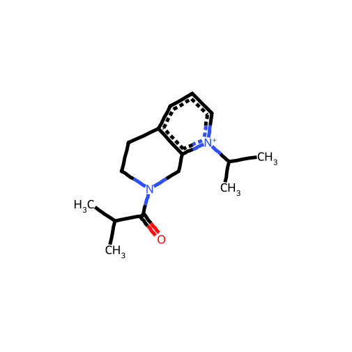 CC(C)C(=O)N1CCc2ccc[n+](C(C)C)c2C1